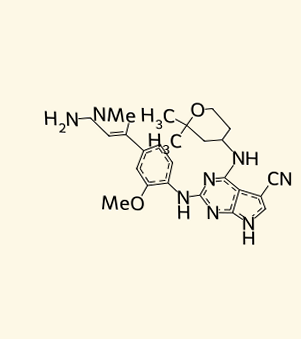 CN/C(=C\CN)c1ccc(Nc2nc(NC3CCOC(C)(C)C3)c3c(C#N)c[nH]c3n2)c(OC)c1